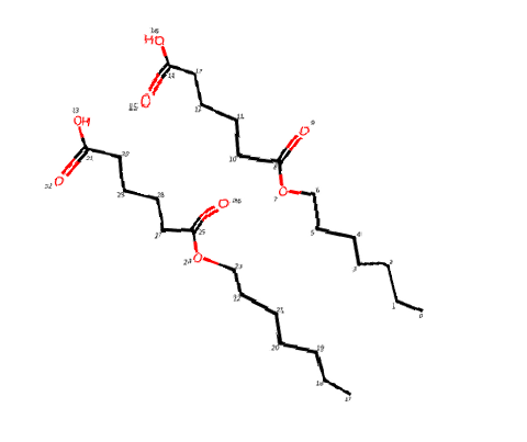 CCCCCCCOC(=O)CCCCC(=O)O.CCCCCCCOC(=O)CCCCC(=O)O